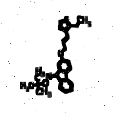 CCc1sccc1/C=C/COc1ccc2c(c1)/C(=N/OC(C)(C)C)c1ccccc1-2